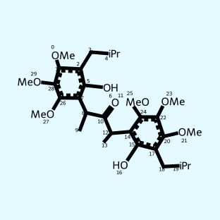 COc1c(CC(C)C)c(O)c(C(C)C(=O)C(C)c2c(O)c(CC(C)C)c(OC)c(OC)c2OC)c(OC)c1OC